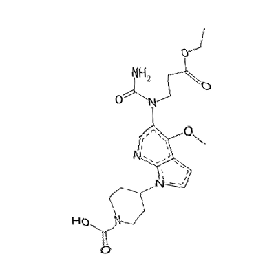 CCOC(=O)CCN(C(N)=O)c1cnc2c(ccn2C2CCN(C(=O)O)CC2)c1OC